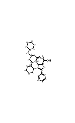 O=C(O)c1sc(-c2ccccc2)cc1N1C(=O)CN(SC2CCCCC2)CC1C1CCCCC1